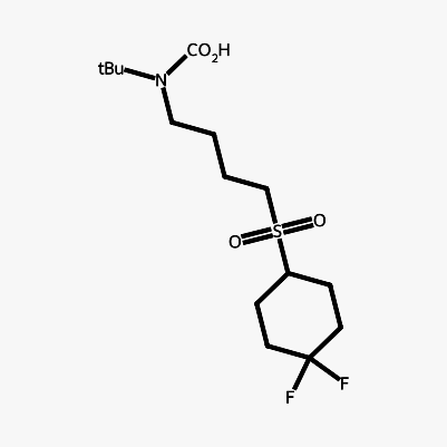 CC(C)(C)N(CCCCS(=O)(=O)C1CCC(F)(F)CC1)C(=O)O